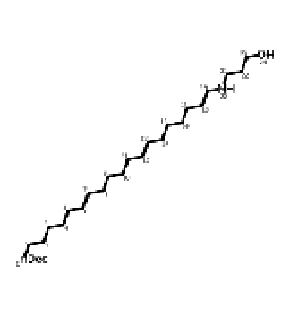 CCCCCCCCCCCCCCCCCCCCCCCCCCCCCNCCCO